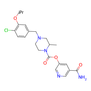 CC(C)Oc1cc(CN2CCN(C(=O)Oc3cncc(C(N)=O)c3)C(C)C2)ccc1Cl